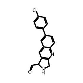 O=CC1NCc2nc3ccc(-c4ccc(Cl)cc4)cc3cc21